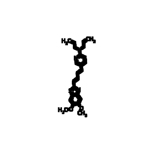 C=CCN(CC=C)c1ccc(C=CC=Cc2nc3cc(OC)c(OC)cc3s2)cn1